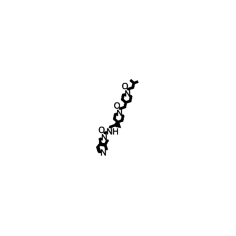 CC(C)CC(=O)N1CCC(CC(=O)N2CCC3(CC2)CC3CNC(=O)N2Cc3ccncc3C2)CC1